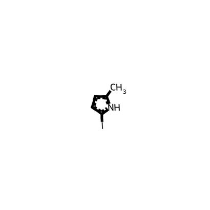 Cc1ccc(I)[nH]1